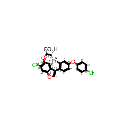 CCCc1cc(Oc2ccc(Cl)cc2)ccc1-c1coc2cc(Cl)c(O[C@@H](C)C(=O)O)cc12